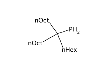 CCCCCCCCC(P)(CCCCCC)CCCCCCCC